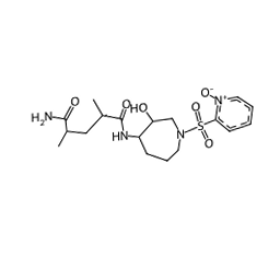 C[C](CC(C)C(N)=O)C(=O)NC1CCCN(S(=O)(=O)c2cccc[n+]2[O-])CC1O